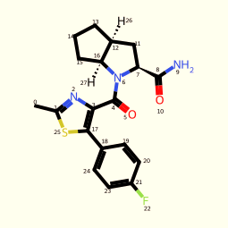 Cc1nc(C(=O)N2[C@H](C(N)=O)C[C@@H]3CCC[C@@H]32)c(-c2ccc(F)cc2)s1